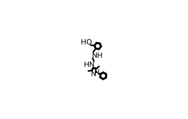 Cc1nn(-c2ccccc2)c(C)c1NCCNCc1ccccc1CO